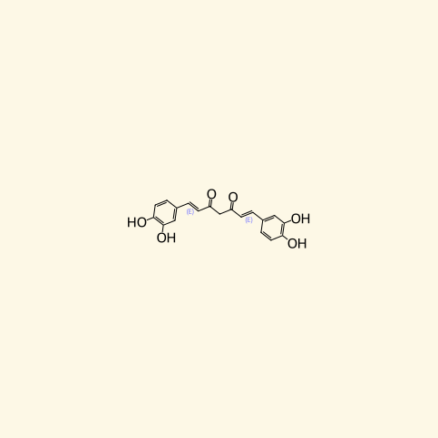 O=C(/C=C/c1ccc(O)c(O)c1)CC(=O)/C=C/c1ccc(O)c(O)c1